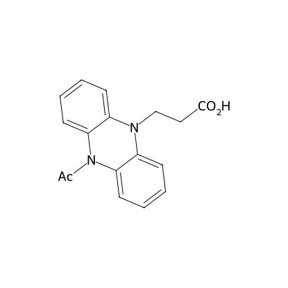 CC(=O)N1c2ccccc2N(CCC(=O)O)c2ccccc21